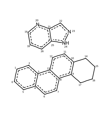 c1ccc2c(c1)ccc1c3c(ccc12)CCCC3.c1cnc2cn[nH]c2c1